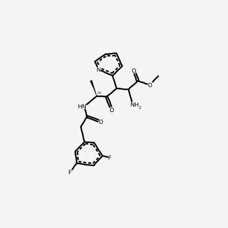 COC(=O)C(N)C(C(=O)[C@H](C)NC(=O)Cc1cc(F)cc(F)c1)c1ccccn1